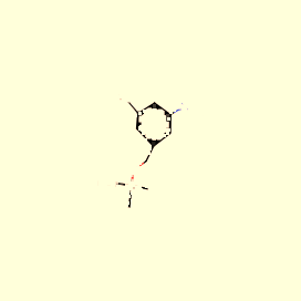 CC(C)(C)c1cc(N)cc(CO[Si](C)(C)C(C)(C)C)c1